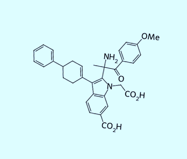 COc1ccc(C(=O)C(C)(N)c2c(C3=CCC(c4ccccc4)CC3)c3ccc(C(=O)O)cc3n2CC(=O)O)cc1